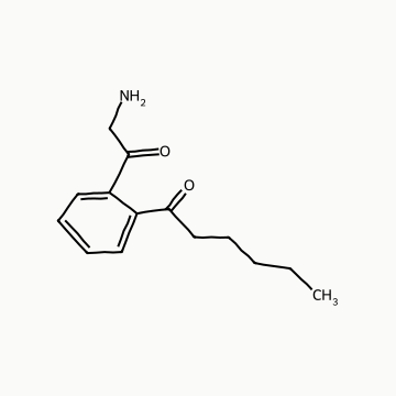 CCCCCC(=O)c1ccccc1C(=O)CN